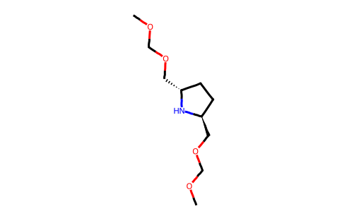 COCOC[C@@H]1CC[C@@H](COCOC)N1